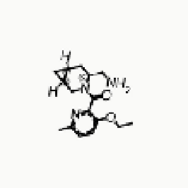 CCOc1ccc(C)nc1C(=O)N1C[C@@H]2C[C@@H]2C[C@H]1CN